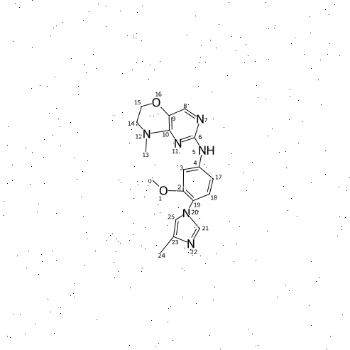 COc1cc(Nc2ncc3c(n2)N(C)[CH]CO3)ccc1-n1cnc(C)c1